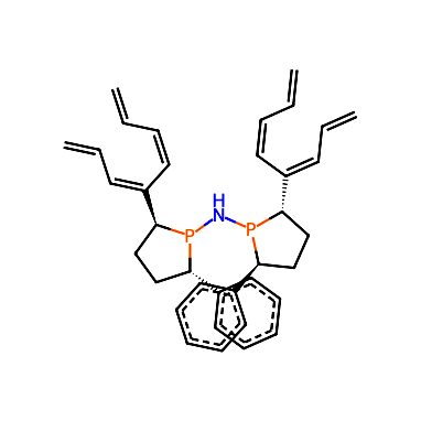 C=C/C=C\C(=C/C=C)[C@@H]1CC[C@@H](c2ccccc2)P1NP1[C@H](C(/C=C\C=C)=C/C=C)CC[C@H]1c1ccccc1